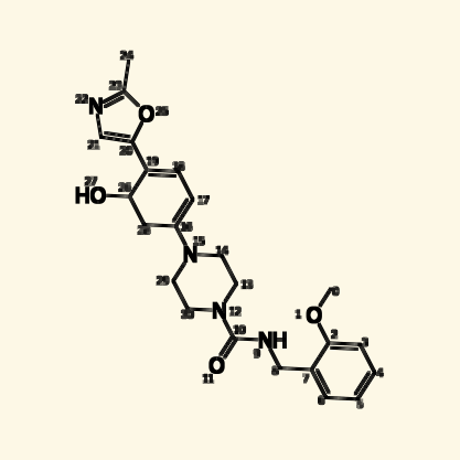 COc1ccccc1CNC(=O)N1CCN(C2=CC=C(c3cnc(C)o3)C(O)C2)CC1